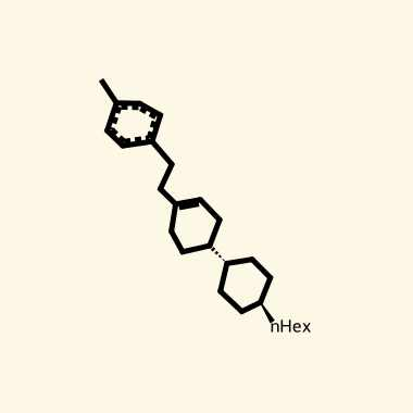 CCCCCC[C@H]1CC[C@H](C2CC=C(CCc3ccc(C)cc3)CC2)CC1